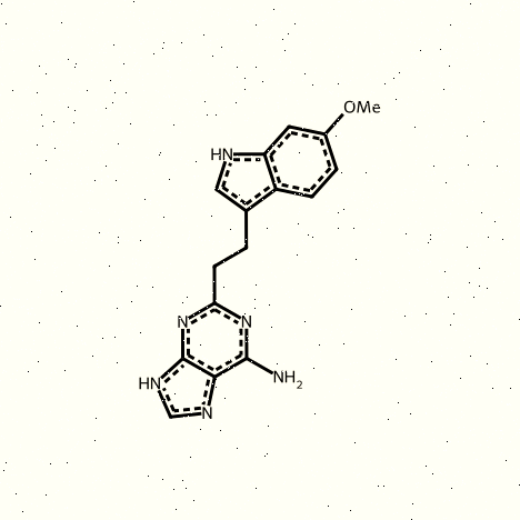 COc1ccc2c(CCc3nc(N)c4nc[nH]c4n3)c[nH]c2c1